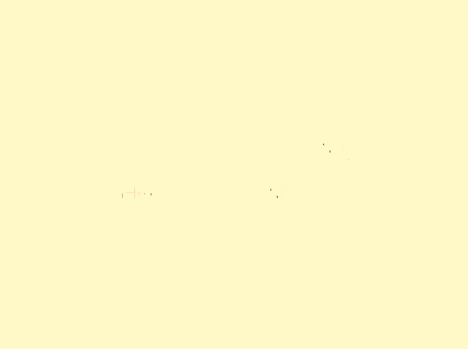 CCCCCCCCCCCC(N)=CCN